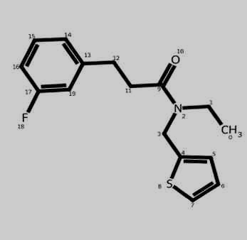 CCN(Cc1cccs1)C(=O)CCc1cccc(F)c1